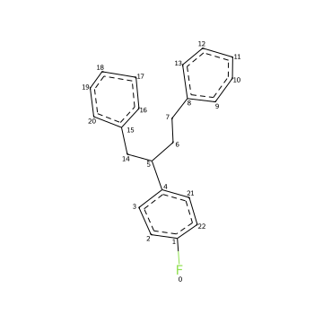 Fc1ccc([C](CCc2ccccc2)Cc2ccccc2)cc1